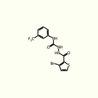 O=C(NNC(=O)c1sccc1Br)Nc1cccc(C(F)(F)F)c1